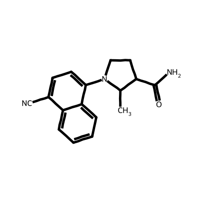 CC1C(C(N)=O)CCN1c1ccc(C#N)c2ccccc12